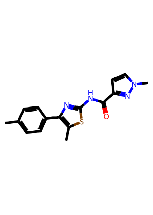 Cc1ccc(-c2nc(NC(=O)c3ccn(C)n3)sc2C)cc1